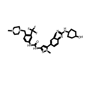 CN1CCN(Cc2ccc(NC(=O)Nc3cc(-c4ccc5nc(NC6CCC(O)CC6)ncc5c4)n(C)n3)cc2C(F)(F)F)CC1